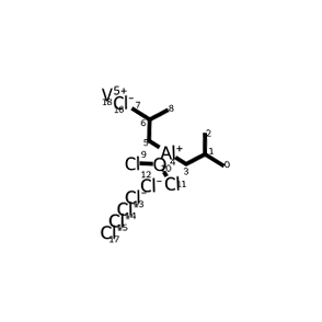 CC(C)[CH2][Al+][CH2]C(C)C.ClOCl.[Cl-].[Cl-].[Cl-].[Cl-].[Cl-].[Cl-].[V+5]